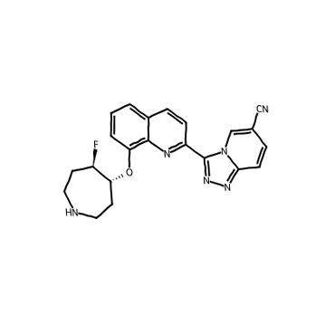 N#Cc1ccc2nnc(-c3ccc4cccc(O[C@@H]5CCNCC[C@H]5F)c4n3)n2c1